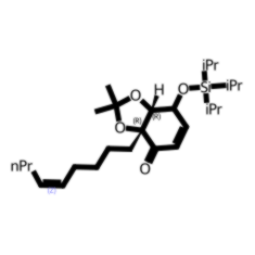 CCC/C=C\CCCC[C@@]12OC(C)(C)O[C@@H]1C(O[Si](C(C)C)(C(C)C)C(C)C)C=CC2=O